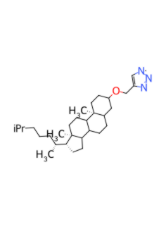 CC(C)CCC[C@@H](C)[C@H]1CCC2C3CCC4CC(OCC5=C[N]N=N5)CC[C@]4(C)C3CC[C@@]21C